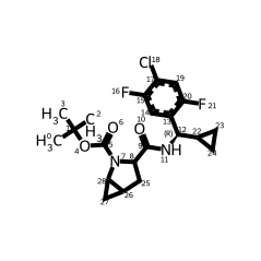 CC(C)(C)OC(=O)N1C(C(=O)N[C@@H](c2cc(F)c(Cl)cc2F)C2CC2)CC2CC21